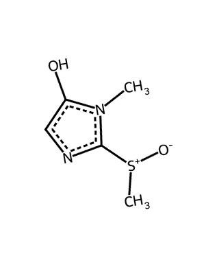 Cn1c(O)cnc1[S+](C)[O-]